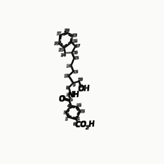 O=C(O)c1ccc(C(=O)NCC(CO)CCCCC2Cc3ccccc3C2)cc1